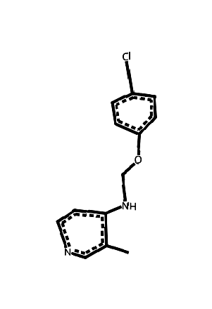 Cc1cnccc1NCOc1ccc(Cl)cc1